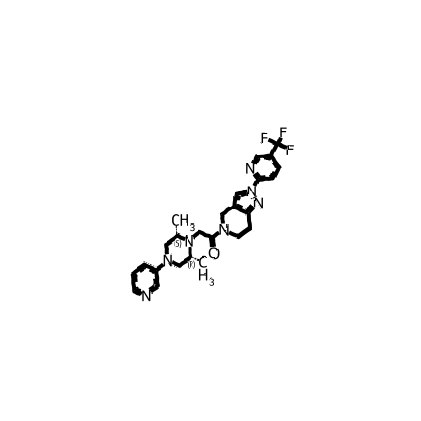 C[C@@H]1CN(c2cccnc2)C[C@H](C)N1CC(=O)N1CCc2nn(-c3ccc(C(F)(F)F)cn3)cc2C1